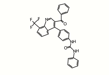 O=C(Nc1ccccc1)Nc1ccc(-c2c(C(=O)c3ccccc3)cnc3c(C(F)(F)F)cccc23)cc1